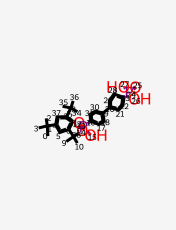 CC(C)(C)c1cc(C(C)(C)C)c(OP(=O)(O)c2ccc(-c3ccc(P(=O)(O)O)cc3)cc2)c(C(C)(C)C)c1